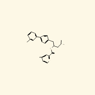 C[C@H](CC(Cc1ccc(-c2cccc(Cl)c2)cc1)NC(=O)c1cc(C(=O)O)ccn1)C(=O)O